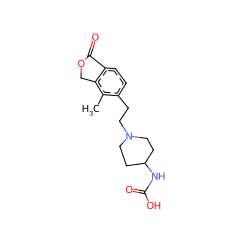 Cc1c(CCN2CCC(NC(=O)O)CC2)ccc2c1COC2=O